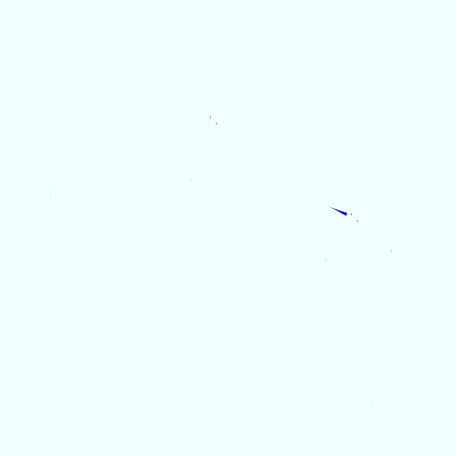 O=C([C@H]1CC[C@H](NS(=O)(=O)c2ccc(Br)cc2)CC1)N1CCCCC1c1ccc(F)cc1